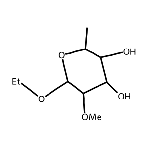 CCOC1OC(C)C(O)C(O)C1OC